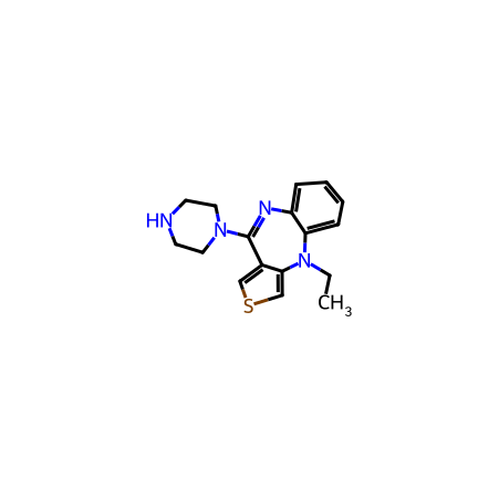 CCN1c2ccccc2N=C(N2CCNCC2)c2cscc21